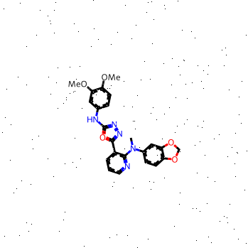 COc1ccc(Nc2nnc(-c3cccnc3N(C)c3ccc4c(c3)OCO4)o2)cc1OC